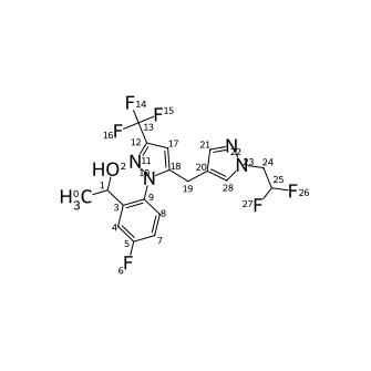 CC(O)c1cc(F)ccc1-n1nc(C(F)(F)F)cc1Cc1cnn(CC(F)F)c1